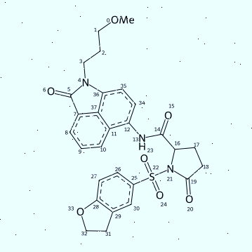 COCCCN1C(=O)c2cccc3c(NC(=O)C4CCC(=O)N4S(=O)(=O)c4ccc5c(c4)CCO5)ccc1c23